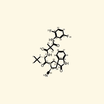 CC(C)(C)C[C@H](NC(=O)C(C)(C)C(=O)Nc1cc(F)ccc1F)C(=O)N1C[C@]2(C[C@H]1C#N)C(=O)Nc1ccccc12